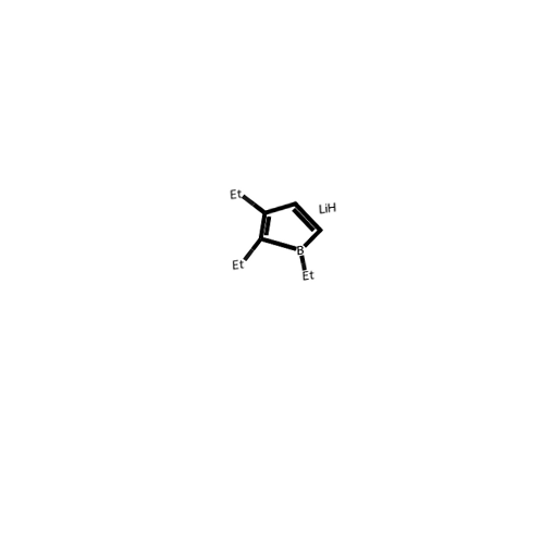 CCB1C=CC(CC)=C1CC.[LiH]